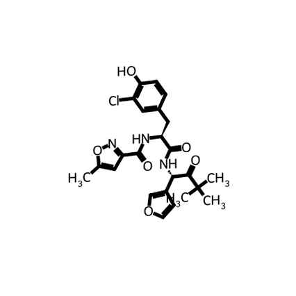 Cc1cc(C(=O)N[C@@H](Cc2ccc(O)c(Cl)c2)C(=O)N[C@H](C(=O)C(C)(C)C)c2ccoc2)no1